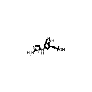 CC(C)(O)C#Cc1cc(Nc2ccnc(N)n2)cc2cn[nH]c12